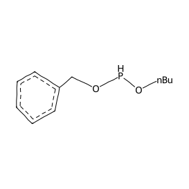 CCCCOPOCc1ccccc1